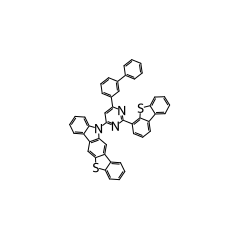 c1ccc(-c2cccc(-c3cc(-n4c5ccccc5c5cc6sc7ccccc7c6cc54)nc(-c4cccc5c4sc4ccccc45)n3)c2)cc1